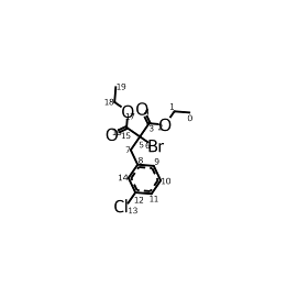 CCOC(=O)C(Br)(Cc1cccc(Cl)c1)C(=O)OCC